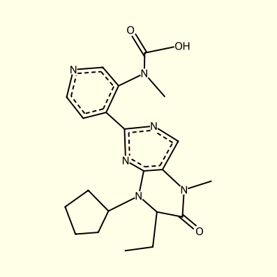 CCC1C(=O)N(C)c2cnc(-c3ccncc3N(C)C(=O)O)nc2N1C1CCCC1